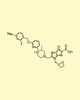 CC1CN(Cc2nc3[nH]c(C(=O)O)nc3n2C[C@@H]2CCO2)CC[C@]1(C)c1cccc(OCc2ccc(C#N)cc2F)n1